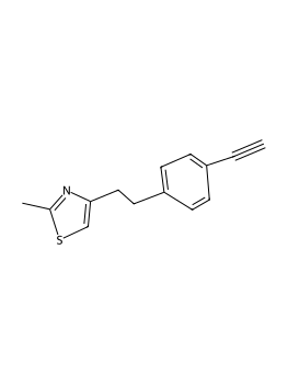 C#Cc1ccc(CCc2csc(C)n2)cc1